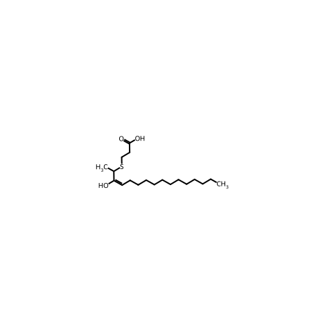 CCCCCCCCCCCC/C=C(/O)C(C)SCCC(=O)O